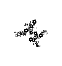 CC(C)(C)OC(=O)NC(Cc1ccccc1)C(O)CN(OC1CCCC1)S(=O)(=O)c1ccc2[nH]c(N)nc2c1.COC(=O)C(C=O)Nc1nc2cc(S(=O)(=O)N(C[C@@H](O)[C@H](Cc3ccccc3)NC(=O)OC(C)(C)C)OC3CCCC3)ccc2[nH]1